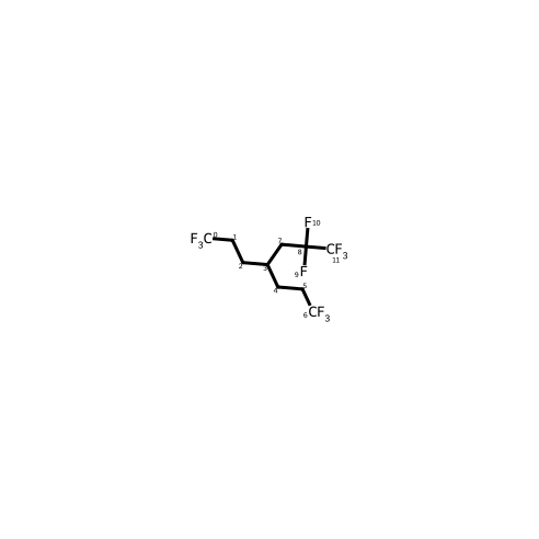 FC(F)(F)CCC(CCC(F)(F)F)CC(F)(F)C(F)(F)F